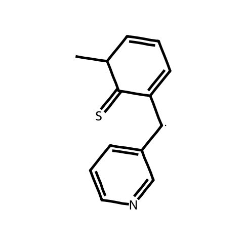 CC1C=CC=C([CH]c2cccnc2)C1=S